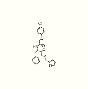 O=C(COc1ccc(Cl)cc1)NC(Cc1ccccc1)C(=O)CSCc1ccco1